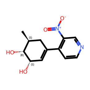 C[C@H]1CC(c2ccncc2[N+](=O)[O-])=C[C@H](O)[C@@H]1O